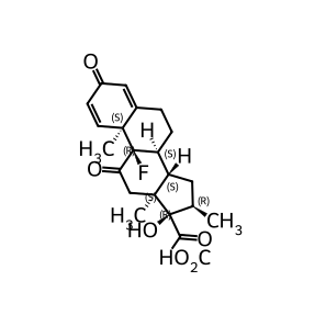 C[C@@H]1C[C@H]2[C@@H]3CCC4=CC(=O)C=C[C@]4(C)[C@@]3(F)C(=O)C[C@]2(C)[C@@]1(O)C(=O)C(=O)O